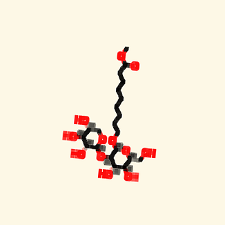 COC(=O)CCCCCCCCO[C@H]1O[C@H](CO)[C@@H](O)[C@H](O)[C@H]1O[C@@H]1OC[C@@H](O)[C@H](O)[C@H]1O